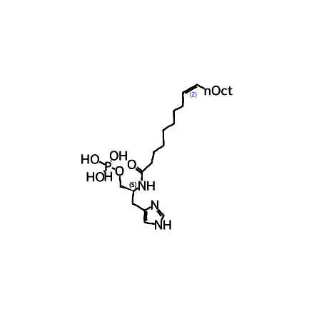 CCCCCCCC/C=C\CCCCCCCC(=O)N[C@H](CO[PH](O)(O)O)Cc1c[nH]cn1